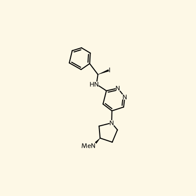 CN[C@@H]1CCN(c2cnnc(N[C@H](I)c3ccccc3)c2)C1